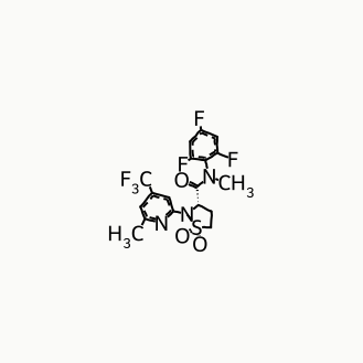 Cc1cc(C(F)(F)F)cc(N2[C@H](C(=O)N(C)c3c(F)cc(F)cc3F)CCS2(=O)=O)n1